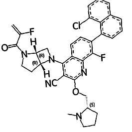 C=C(F)C(=O)N1CC[C@@H]2[C@H]1CN2c1c(C#N)c(OC[C@@H]2CCCN2C)nc2c(F)c(-c3cccc4cccc(Cl)c34)ccc12